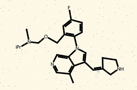 Cc1cncc2c1c(/C=C1\CCNC1)cn2-c1ccc(F)cc1COCN(C)C(C)C